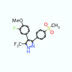 COc1ccc(-c2c(-c3ccc(S(C)(=O)=O)cc3)n[nH]c2C(F)(F)F)cc1F